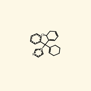 ClC1CC=CC=C1C(C1=CCCCC1)(c1ccccc1)n1ccnc1